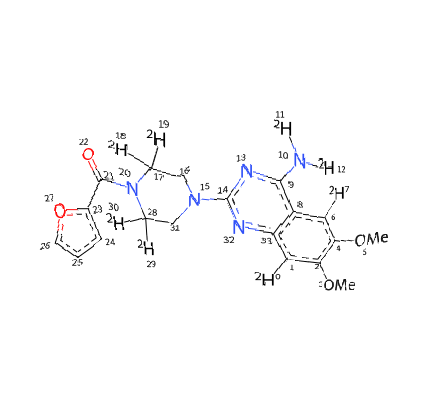 [2H]c1c(OC)c(OC)c([2H])c2c(N([2H])[2H])nc(N3CC([2H])([2H])N(C(=O)c4ccco4)C([2H])([2H])C3)nc12